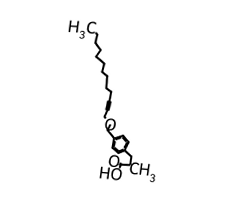 CCCCCCCCCCC#CCOCc1ccc(CC(C)C(=O)O)cc1